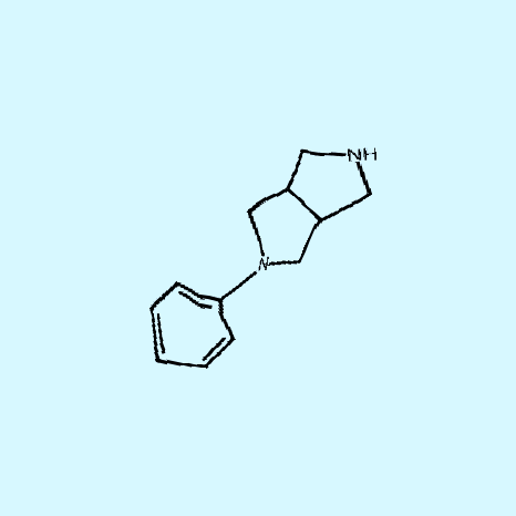 c1ccc(N2CC3CNCC3C2)cc1